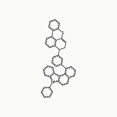 C1=C2Sc3ccccc3-c3cccc(c32)C(c2cccc(-c3cccc4ccc5c(c6ccccc6n5-c5ccccc5)c34)c2)C1